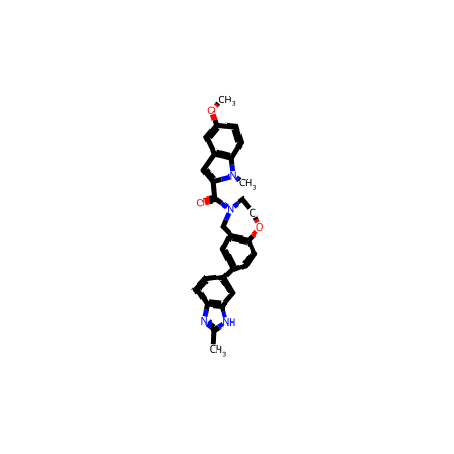 COc1ccc2c(c1)cc(C(=O)N1CCOc3ccc(-c4ccc5nc(C)[nH]c5c4)cc3C1)n2C